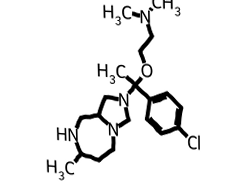 CC1CCN2CN(C(C)(OCCN(C)C)c3ccc(Cl)cc3)CC2CN1